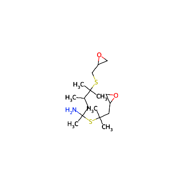 CC(CC(C)(N)SC(C)(C)CC1CO1)C(C)(C)SCC1CO1